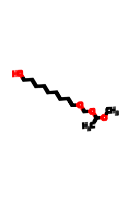 COC(C)OCOCCCCCCCCCO